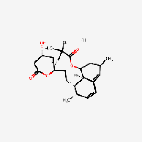 CCC(C)(C)C(=O)O[C@H]1C[C@@H](C)C=C2C=C[C@H](C)[C@H](CC[C@@H]3C[C@@H](O)CC(=O)O3)[C@H]21.[KH]